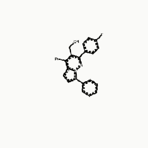 CC(C)c1c(CO)c(-c2ccc(F)cc2)nn2c(-c3ccccc3)ccc12